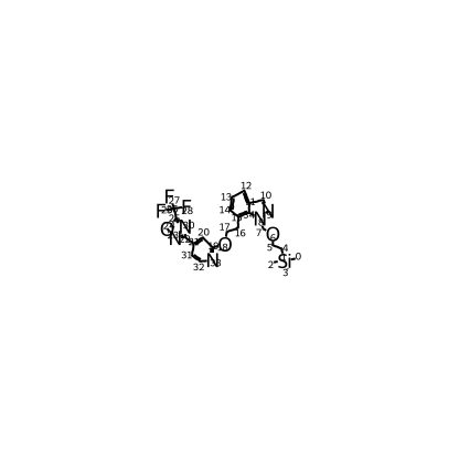 C[Si](C)(C)CCOCn1ncc2cccc(CCOc3cc(-c4noc(C(F)(F)F)n4)ccn3)c21